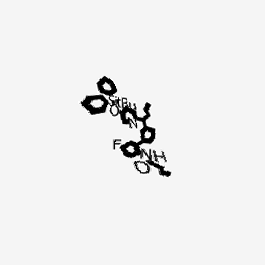 C=CCC(=O)Nc1ccc(F)cc1-c1cccc(C(CC=C)c2ccc(O[Si](c3ccccc3)(c3ccccc3)C(C)(C)C)cn2)c1